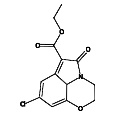 CCOC(=O)C1=C2C=C(Cl)C=C3OCCN(C1=O)C32